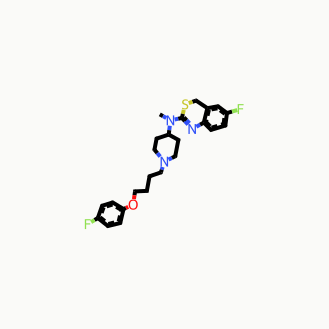 CN(C1=Nc2ccc(F)cc2CS1)C1CCN(CCCCOc2ccc(F)cc2)CC1